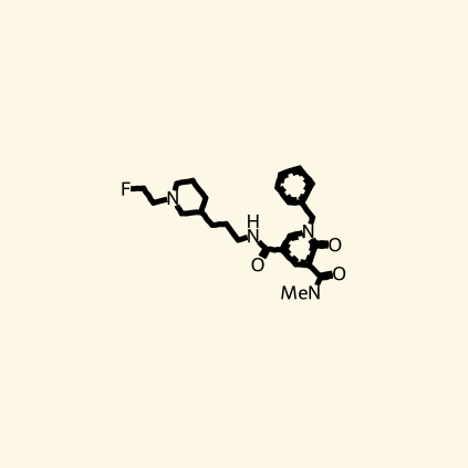 CNC(=O)c1cc(C(=O)NCCCC2CCCN(CCF)C2)cn(Cc2ccccc2)c1=O